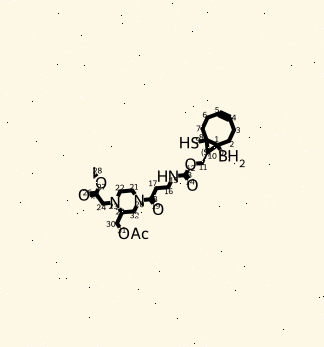 BC12CCC#CCCC1(S)[C@@H]2COC(=O)NCCC(=O)N1CCN(CC(=O)OI)C(COC(C)=O)C1